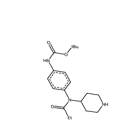 CCC(=O)N(c1ccc(NC(=O)OC(C)(C)C)cc1)C1CCNCC1